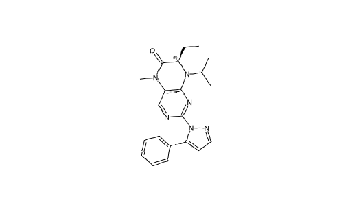 CC[C@@H]1C(=O)N(C)c2cnc(-n3nccc3-c3ccccc3)nc2N1C(C)C